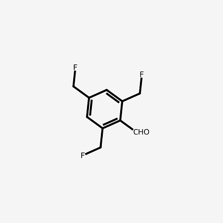 O=Cc1c(CF)cc(CF)cc1CF